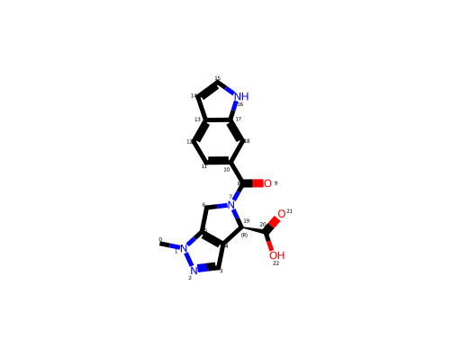 Cn1ncc2c1CN(C(=O)c1ccc3cc[nH]c3c1)[C@H]2C(=O)O